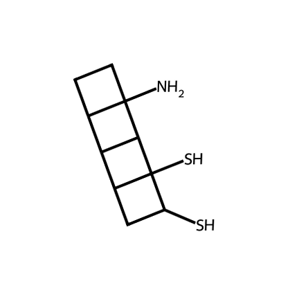 NC12CCC1C1C3CC(S)C3(S)C12